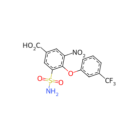 NS(=O)(=O)c1cc(C(=O)O)cc([N+](=O)[O-])c1Oc1cccc(C(F)(F)F)c1